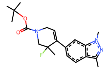 Cc1nn(C)c2cc(C3=CCN(C(=O)OC(C)(C)C)CC3(C)F)ccc12